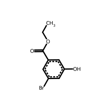 CCOC(=O)c1cc(O)cc(Br)c1